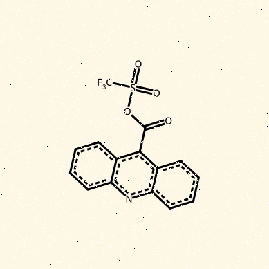 O=C(OS(=O)(=O)C(F)(F)F)c1c2ccccc2nc2ccccc12